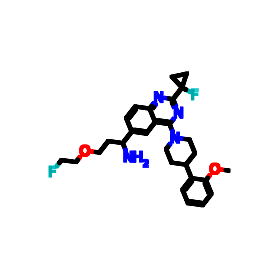 COc1ccccc1C1CCN(c2nc(C3(F)CC3)nc3ccc(C(N)CCOCCF)cc23)CC1